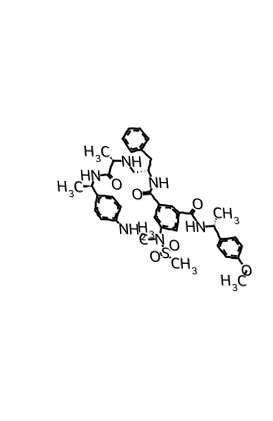 COc1ccc([C@@H](C)NC(=O)c2cc(C(=O)N[C@H](CN[C@@H](C)C(=O)N[C@H](C)c3ccc(N)cc3)Cc3ccccc3)cc(N(C)S(C)(=O)=O)c2)cc1